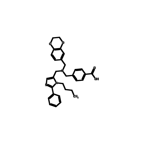 CCCCn1c(CN(Cc2ccc(C(=O)O)cc2)Cc2ccc3c(c2)OCCO3)cnc1-c1ccccc1